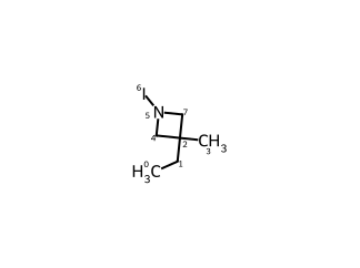 CCC1(C)CN(I)C1